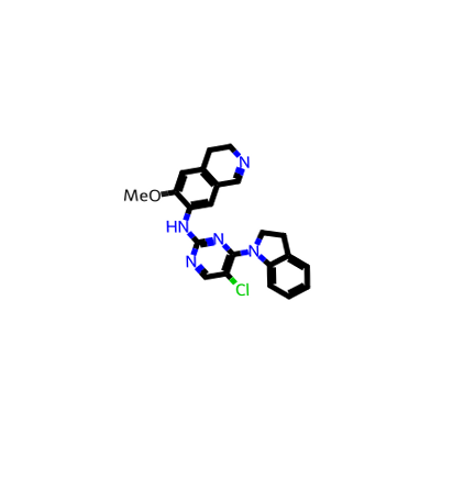 COc1cc2c(cc1Nc1ncc(Cl)c(N3CCc4ccccc43)n1)C=NCC2